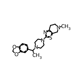 CC(c1ccc2c(c1)OCO2)N1CCN(c2nc3c(s2)CN(C)CC3)CC1